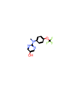 CN(c1ccc(OC(F)(F)F)cc1)c1ncc(O)cn1